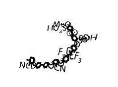 COc1ccc(S(=O)(=O)c2ccc(Oc3ccc(C(c4ccc(Oc5cccc(Oc6ccc(-c7ccc(Oc8cccc(C)c8C#N)cc7)cc6)c5C#N)cc4)(C(F)(F)F)C(F)(F)F)cc3)c(SOOO)c2)cc1S(=O)(=O)O